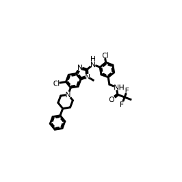 Cn1c(Nc2cc(CNC(=O)C(C)(F)F)ccc2Cl)nc2cc(Cl)c(N3CCC(c4ccccc4)CC3)cc21